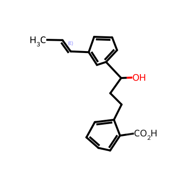 C/C=C/c1cccc(C(O)CCc2ccccc2C(=O)O)c1